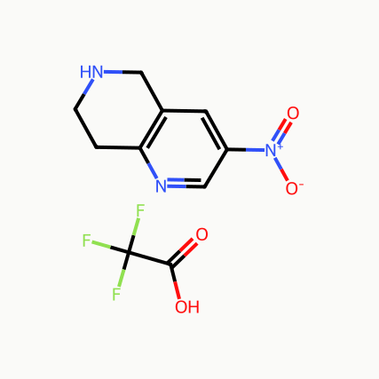 O=C(O)C(F)(F)F.O=[N+]([O-])c1cnc2c(c1)CNCC2